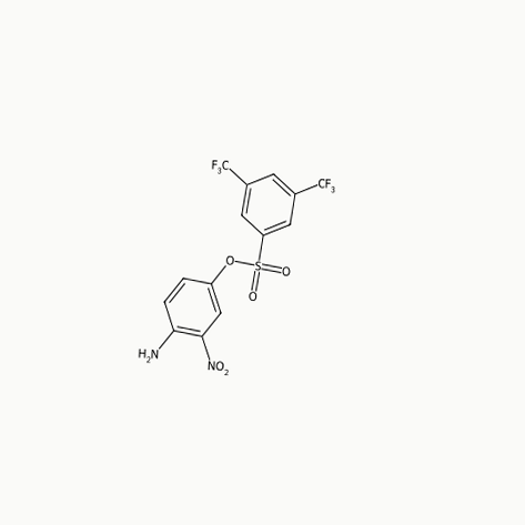 Nc1ccc(OS(=O)(=O)c2cc(C(F)(F)F)cc(C(F)(F)F)c2)cc1[N+](=O)[O-]